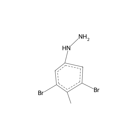 Cc1c(Br)cc(NN)cc1Br